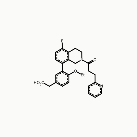 CCOc1ccc(CC(=O)O)cc1-c1ccc(F)c2c1CN(C(=O)CCc1ccccn1)CC2